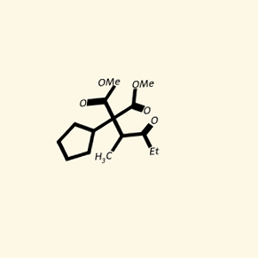 CCC(=O)C(C)C(C(=O)OC)(C(=O)OC)C1CCCC1